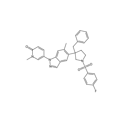 Cc1cc2c(cnn2-c2ccc(=O)n(C)c2)cc1C1(Cc2ccccc2)CCN(S(=O)(=O)c2ccc(F)cc2)C1